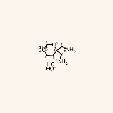 NCC1(CN)CCOCO1.[OH-].[OH-].[Pt+2]